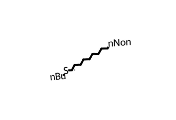 [CH2]CCCCCCCCCCCCCCCC[CH]SCCCC